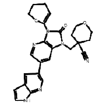 N#CC1(Cn2c(=O)n(C3=CCCCC3)c3ncc(-c4cnc5[nH]ccc5c4)cc32)CCOCC1